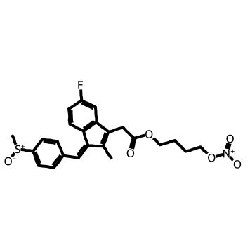 CC1=C(CC(=O)OCCCCO[N+](=O)[O-])c2cc(F)ccc2/C1=C\c1ccc([S+](C)[O-])cc1